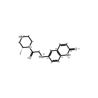 C[C@@H]1CNCCN1C(=O)CNc1ccc2[nH]c(=O)ccc2c1